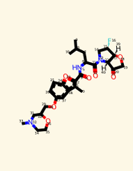 Cc1c(C(=O)NC(CC(C)C)C(=O)N2C[C@H](F)[C@H]3OCC(=O)[C@H]32)oc2ccc(OCC3CN(C)CCO3)cc12